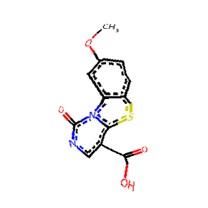 COc1ccc2sc3c(C(=O)O)cnc(=O)n3c2c1